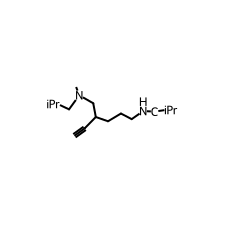 C#CC(CCCNCC(C)C)CN(C)CC(C)C